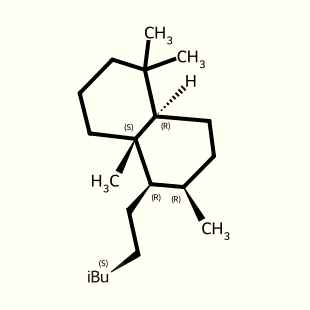 CC[C@H](C)CC[C@@H]1[C@H](C)CC[C@@H]2C(C)(C)CCC[C@@]12C